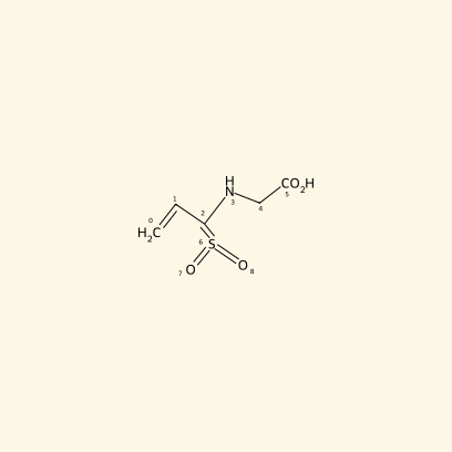 C=CC(NCC(=O)O)=S(=O)=O